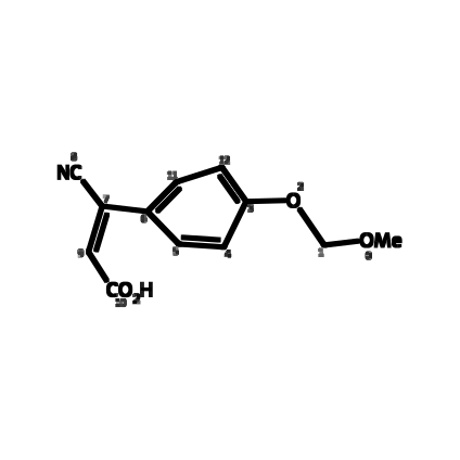 COCOc1ccc(/C(C#N)=C\C(=O)O)cc1